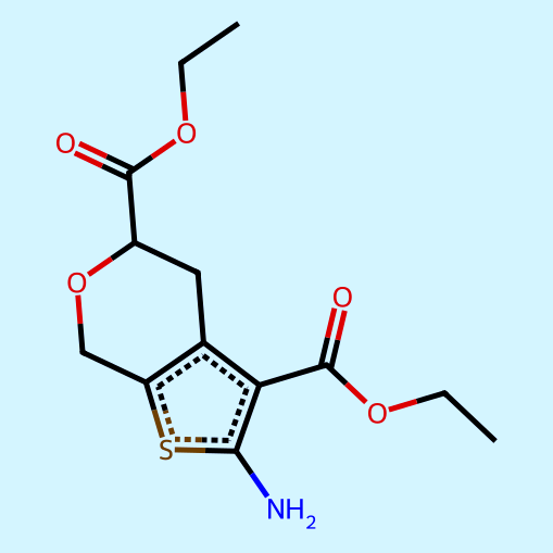 CCOC(=O)c1c(N)sc2c1CC(C(=O)OCC)OC2